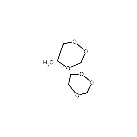 C1COOCO1.C1COOCO1.O